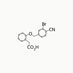 N#Cc1ccc(COc2ccccc2CC(=O)O)cc1Br